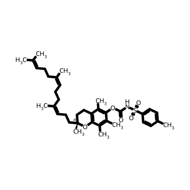 CC(C)=CCCC(C)=CCCC(C)=CCC[C@]1(C)CCc2c(C)c(OC(=O)NS(=O)(=O)c3ccc(C)cc3)c(C)c(C)c2O1